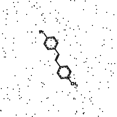 CC(C)c1ccc(/C=C/c2cc[n+](C)cc2)cc1